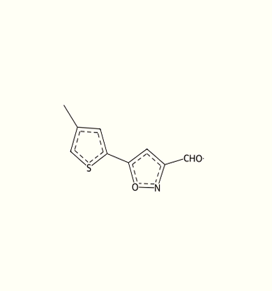 Cc1csc(-c2cc([C]=O)no2)c1